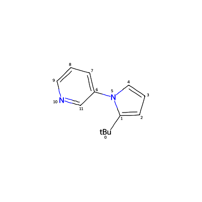 CC(C)(C)c1cccn1-c1cccnc1